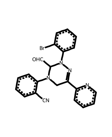 N#Cc1ccccc1N1CC(c2ccccn2)=NN(c2ccccc2Br)C1C=O